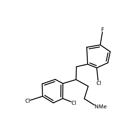 CNCCC(Cc1cc(F)ccc1Cl)c1ccc(Cl)cc1Cl